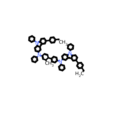 C=Cc1ccc(-c2ccc3c(c2)c2cc(N(C4=CC(C)C(c5ccc(N(c6ccccc6)c6ccc7c(c6)c6cc(-c8ccc(C=C)cc8)ccc6n7-c6ccccc6)cc5)C=C4)c4ccccc4)ccc2n3-c2ccccc2)cc1